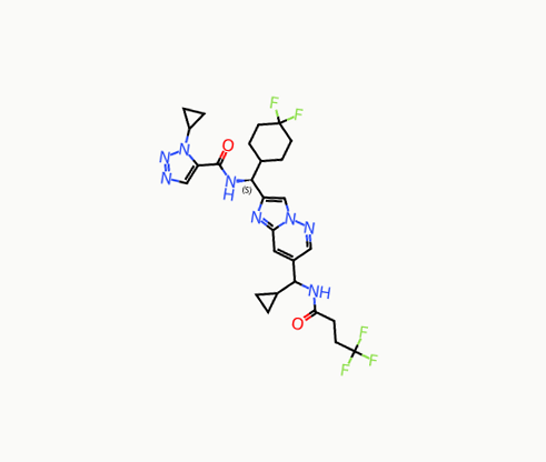 O=C(CCC(F)(F)F)NC(c1cnn2cc([C@@H](NC(=O)c3cnnn3C3CC3)C3CCC(F)(F)CC3)nc2c1)C1CC1